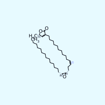 CCCCCCCCCCCCCC[C@H]1O[C@H]1CC/C=C\CCCCCCCCCCC1=C[C@H](C)OC1=O